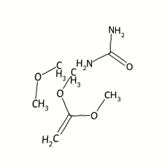 C=C(OC)OC.COC.NC(N)=O